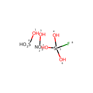 O=S(=O)(O)O.O=[N+]([O-])O.O[Si](O)(O)F